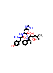 CC(C)C[C@H](O)[C@H](O)[C@@H](NC(=O)[C@H](Cc1c[nH]cn1)NC(=O)C(N)Cc1ccc(O)cc1)C(C)C1CCCCC1